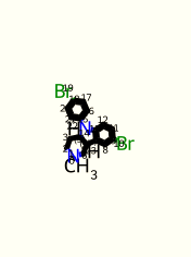 CN1CC[C@H]2[C@H](C1)c1cc(Br)ccc1N2c1ccc(Br)cc1